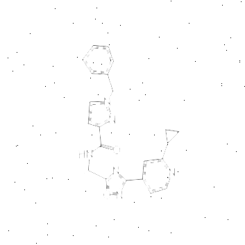 C[C@H](NC(=O)c1ccn(Cc2ccccc2)n1)c1nc(-c2ccnc(C3CC3)c2)no1